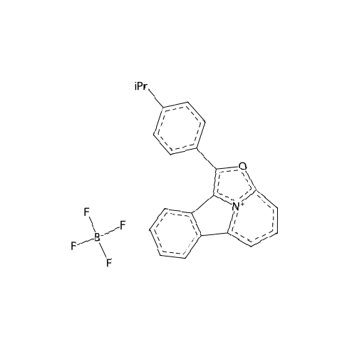 CC(C)c1ccc(-c2oc3cccc4[n+]3c2-c2ccccc2-4)cc1.F[B-](F)(F)F